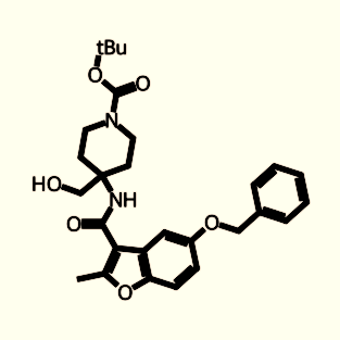 Cc1oc2ccc(OCc3ccccc3)cc2c1C(=O)NC1(CO)CCN(C(=O)OC(C)(C)C)CC1